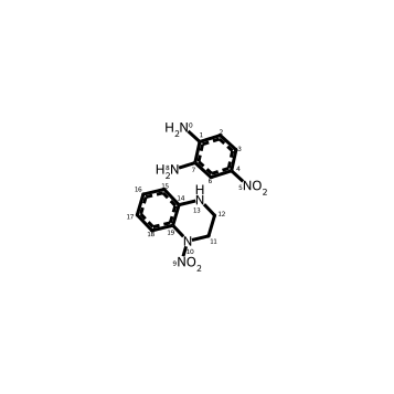 Nc1ccc([N+](=O)[O-])cc1N.O=[N+]([O-])N1CCNc2ccccc21